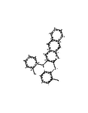 Cc1ccccc1Sc1nc2cc3ccccc3cc2nc1Sc1ccccc1C